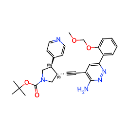 COCOc1ccccc1-c1cc(C#C[C@@H]2CN(C(=O)OC(C)(C)C)C[C@H]2c2ccncc2)c(N)nn1